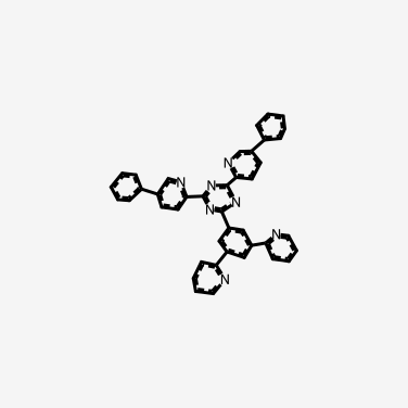 c1ccc(-c2ccc(-c3nc(-c4cc(-c5ccccn5)cc(-c5ccccn5)c4)nc(-c4ccc(-c5ccccc5)cn4)n3)nc2)cc1